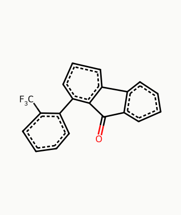 O=C1c2ccccc2-c2cccc(-c3ccccc3C(F)(F)F)c21